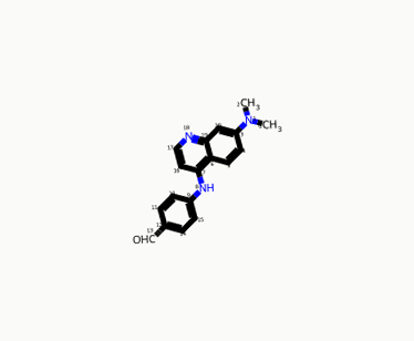 CN(C)c1ccc2c(Nc3ccc(C=O)cc3)ccnc2c1